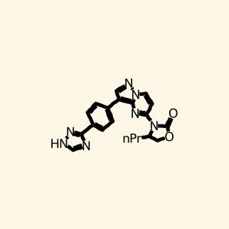 CCCC1COC(=O)N1c1ccn2ncc(-c3ccc(-c4nc[nH]n4)cc3)c2n1